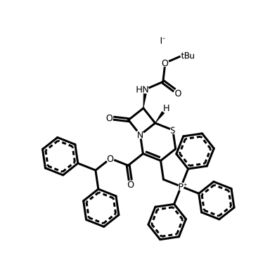 CC(C)(C)OC(=O)N[C@@H]1C(=O)N2C(C(=O)OC(c3ccccc3)c3ccccc3)=C(C[P+](c3ccccc3)(c3ccccc3)c3ccccc3)CS[C@@H]12.[I-]